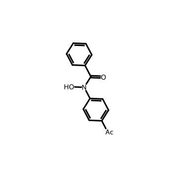 CC(=O)c1ccc(N(O)C(=O)c2ccccc2)cc1